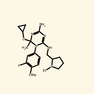 CCN1CCCC1CNC1=NC(N)=NC(N)(OC2CC2)N1c1ccc(OC)c(F)c1